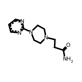 NC(=O)[CH]CN1CCN(c2ncccn2)CC1